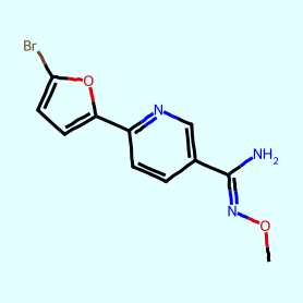 CO/N=C(\N)c1ccc(-c2ccc(Br)o2)nc1